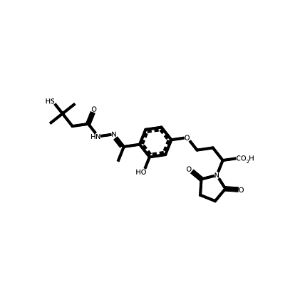 C/C(=N\NC(=O)CC(C)(C)S)c1ccc(OCCC(C(=O)O)N2C(=O)CCC2=O)cc1O